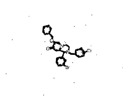 CCc1ccc(CN2CCn3cc(OCc4ccccc4)c(=O)cc3C2c2cccc(Br)c2)cc1